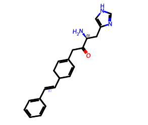 N[C@@H](Cc1c[nH]cn1)C(=O)CC1=CCC(/C=C/c2ccccc2)C=C1